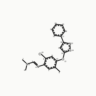 Cc1cc(N=CN(C)C)c(Cl)cc1Oc1cc(-c2ccccc2)ns1